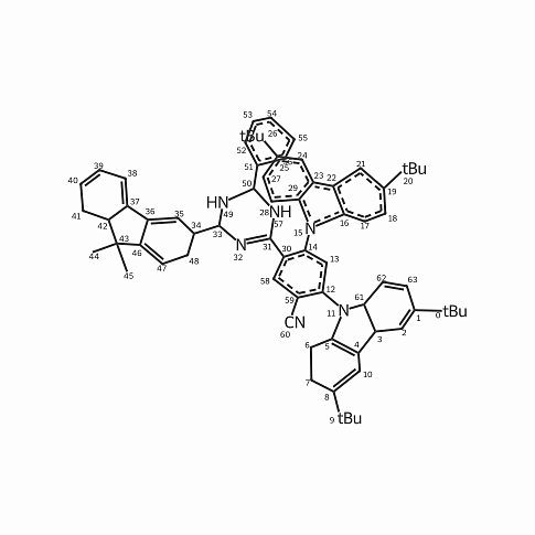 CC(C)(C)C1=CC2C3=C(CCC(C(C)(C)C)=C3)N(c3cc(-n4c5ccc(C(C)(C)C)cc5c5cc(C(C)(C)C)ccc54)c(C4=NC(C5C=C6C7=CC=CCC7C(C)(C)C6=CC5)NC(c5ccccc5)N4)cc3C#N)C2C=C1